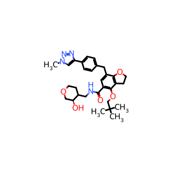 Cn1cc(-c2ccc(Cc3cc(C(=O)NCC4CCOC[C@@H]4O)c(OCC(C)(C)C)c4c3OCC4)cc2)nn1